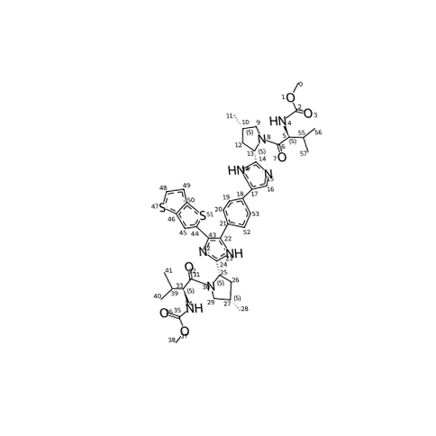 COC(=O)N[C@H](C(=O)N1C[C@@H](C)C[C@H]1c1ncc(-c2ccc(-c3[nH]c([C@@H]4C[C@H](C)CN4C(=O)[C@@H](NC(=O)OC)C(C)C)nc3-c3cc4sccc4s3)cc2)[nH]1)C(C)C